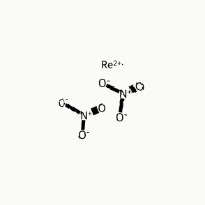 O=[N+]([O-])[O-].O=[N+]([O-])[O-].[Re+2]